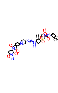 Cc1cc(NC(=O)C(C)(O)CS(=O)(=O)c2ccc(NCCNC3CCN(c4ccc5c(c4)C(=O)N(C4CCC(=O)NC4=O)C5=O)CC3)cc2)ccc1C#N